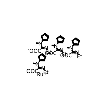 CCN=C(C(=O)[O-])N(C)C1=CC=CC1.CCN=C(C(=O)[O-])N(C)C1=CC=CC1.CCN=C(C(=O)[O-])N(C)C1=CC=CC1.CCN=C(C(=O)[O-])N(C)C1=CC=CC1.[Ru+4]